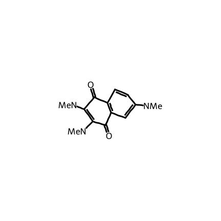 CNC1=C(NC)C(=O)c2cc(NC)ccc2C1=O